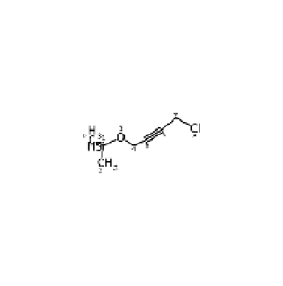 C[SiH](C)OCC#CCCl